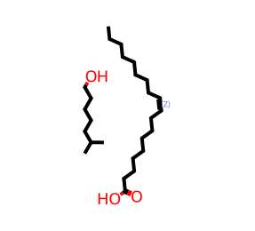 CC(C)CCCCCO.CCCCCCCC/C=C\CCCCCCCC(=O)O